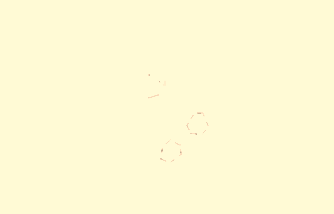 O=C(NC1(C(=O)O)CCOC1)OCC1c2ccccc2-c2ccccc21